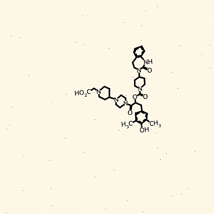 Cc1cc(CC(OC(=O)N2CCC(N3CCc4ccccc4NC3=O)CC2)C(=O)N2CCN(C3CCN(CC(=O)O)CC3)CC2)cc(C)c1O